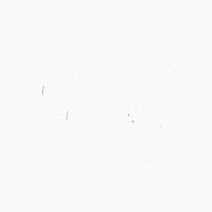 Clc1ccc2c(c1)C(CCCc1ccc(Cl)c(Cl)c1)=Nc1ccccc1O2